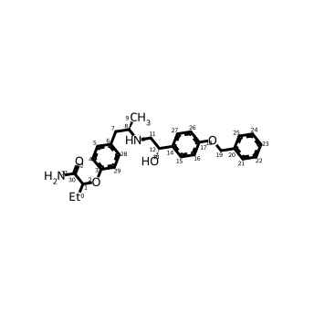 CCC(Oc1ccc(C[C@@H](C)NC[C@@H](O)c2ccc(OCc3ccccc3)cc2)cc1)C(N)=O